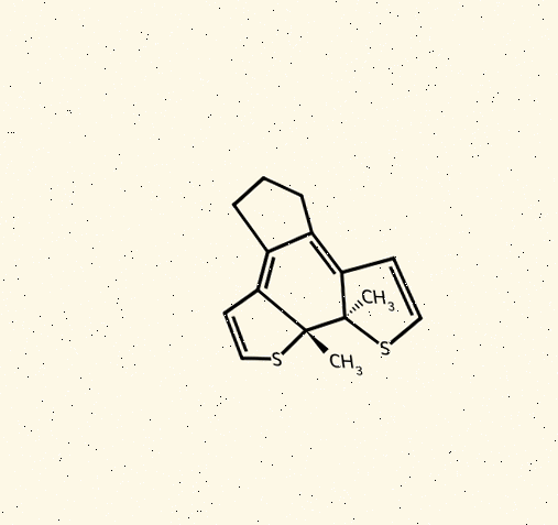 C[C@@]12SC=CC1=C1CCCC1=C1C=CS[C@]12C